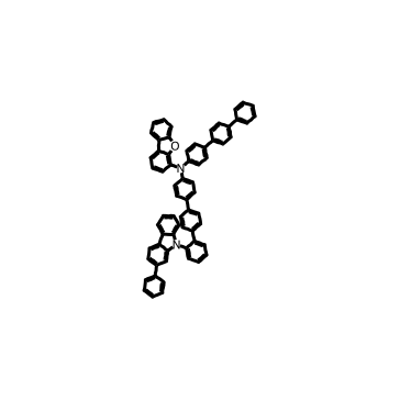 c1ccc(-c2ccc(-c3ccc(N(c4ccc(-c5ccc(-c6ccccc6-n6c7ccccc7c7ccc(-c8ccccc8)cc76)cc5)cc4)c4cccc5c4oc4ccccc45)cc3)cc2)cc1